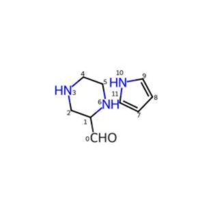 O=CC1CNCCN1.c1cc[nH]c1